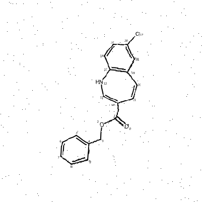 O=C(OCc1ccccc1)C1=CNc2ccc(Cl)cc2C=C1